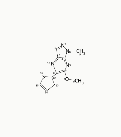 COc1nc2c(cnn2C)nc1C1CC=CS1